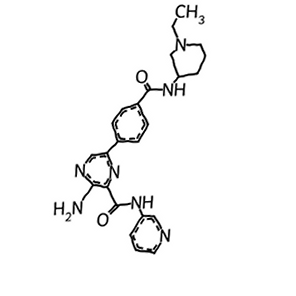 CCN1CCCC(NC(=O)c2ccc(-c3cnc(N)c(C(=O)Nc4cccnc4)n3)cc2)C1